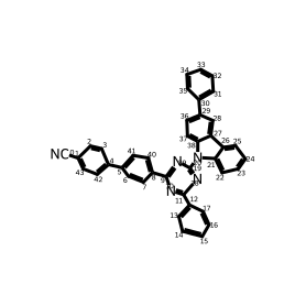 N#Cc1ccc(-c2ccc(-c3nc(-c4ccccc4)nc(-n4c5ccccc5c5cc(-c6ccccc6)ccc54)n3)cc2)cc1